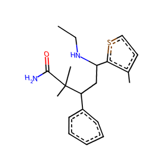 CCNC(CC(c1ccccc1)C(C)(C)C(N)=O)c1sccc1C